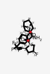 N#C[C@@H]1C[C@H](F)CN1C(=O)[C@@H](N)C1CC2CCC(C1)N2C(=O)c1ccc(C(F)(F)F)cc1